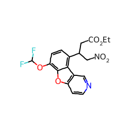 CCOC(=O)CC(C[N+](=O)[O-])c1ccc(OC(F)F)c2oc3ccncc3c12